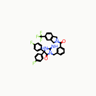 N=C1NC(c2ccc(F)cc2)(c2ccc(F)cc2)C(=O)N1Cc1cccc(C(=O)N2Cc3ccc(C(F)(F)F)cc3C2)c1